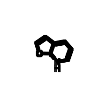 C1=CN[C]2OC=CC2=C1